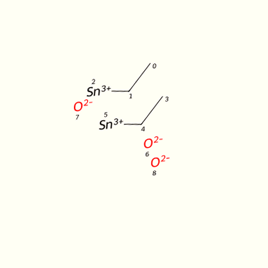 C[CH2][Sn+3].C[CH2][Sn+3].[O-2].[O-2].[O-2]